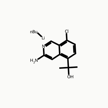 CC(C)(O)c1ccc(Cl)c2cnc(N)cc12.[Li][CH2]CCC